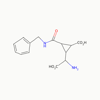 NC(C(=O)O)C1C(C(=O)O)C1C(=O)NCc1ccccc1